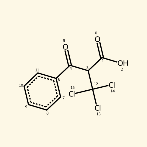 O=C(O)C(C(=O)c1ccccc1)C(Cl)(Cl)Cl